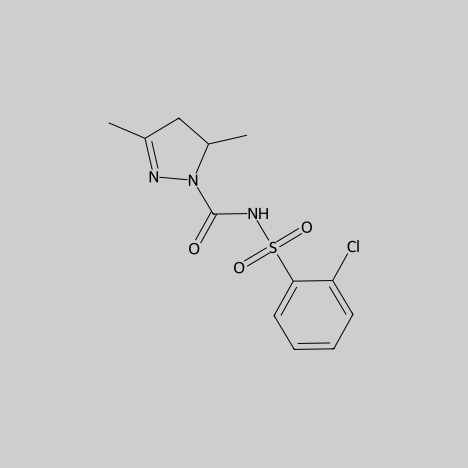 CC1=NN(C(=O)NS(=O)(=O)c2ccccc2Cl)C(C)C1